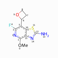 COc1nc(F)c(C2CCO2)c2sc(N)nc12